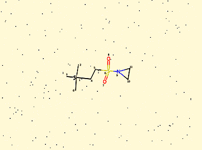 C[Si](C)(C)CCS(=O)(=O)N1CC1